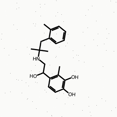 Cc1ccccc1CC(C)(C)NCC(O)c1ccc(O)c(O)c1C